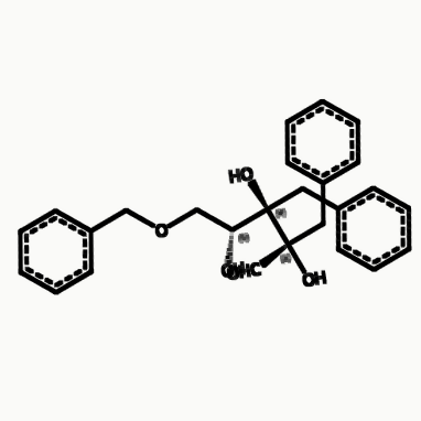 O=C[C@](O)(Cc1ccccc1)[C@@](O)(Cc1ccccc1)[C@H](O)COCc1ccccc1